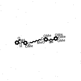 COc1cc(C2NC(=O)c3ccccc3N2)ccc1OCCCCCCCCOc1c(OC)cc(C2CC(c3cc(OC)c(OC)c(OC)c3)=NO2)cc1OC